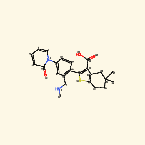 CNCc1cc(-n2ccccc2=O)ccc1-c1sc2c(c1C(=O)O)CC(C)(C)CC2